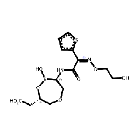 O=C(O)C[C@H]1COC[C@H](NC(=O)/C(=N\OCCO)c2cccs2)B(O)O1